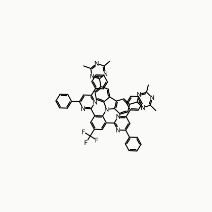 Cc1nc(C)nc(-c2ccc3c(c2)c2cc(-c4nc(C)nc(C)n4)ccc2n3-c2c(-c3nc(-c4ccccc4)cc(-c4ccccc4)n3)cc(C(F)(F)F)cc2-c2nc(-c3ccccc3)cc(-c3ccccc3)n2)n1